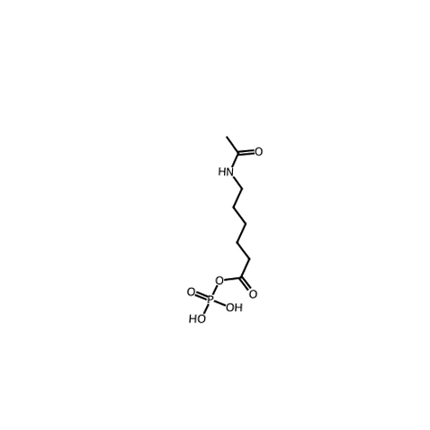 CC(=O)NCCCCCC(=O)OP(=O)(O)O